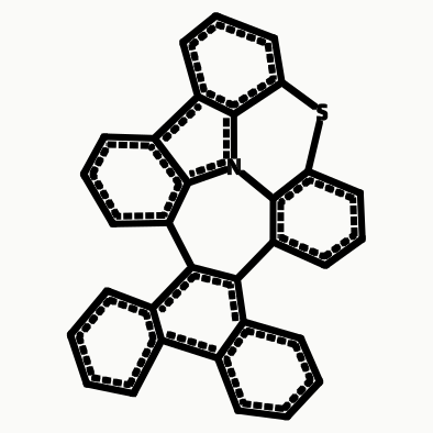 c1cc2c3c(c1)-c1c(c4ccccc4c4ccccc14)-c1cccc4c5cccc(c5n-3c14)S2